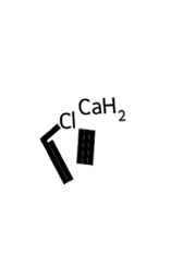 C#C.C=CCl.[CaH2]